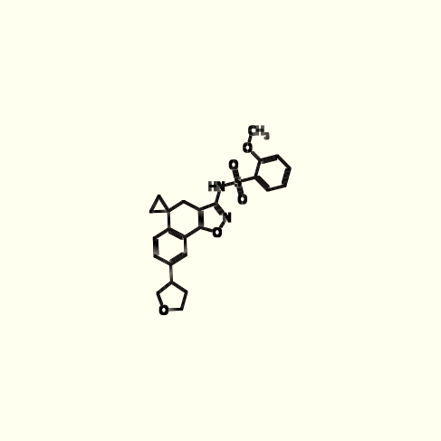 COc1ccccc1S(=O)(=O)Nc1noc2c1CC1(CC1)c1ccc(C3CCOC3)cc1-2